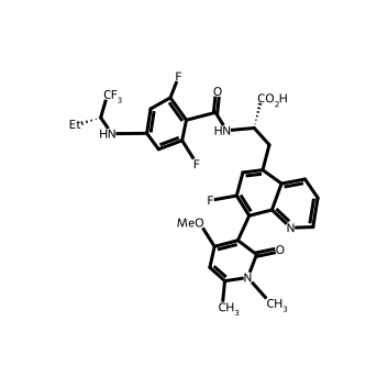 CC[C@@H](Nc1cc(F)c(C(=O)N[C@@H](Cc2cc(F)c(-c3c(OC)cc(C)n(C)c3=O)c3ncccc23)C(=O)O)c(F)c1)C(F)(F)F